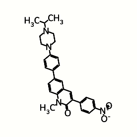 CC(C)N1CCN(c2ccc(-c3ccc4c(c3)cc(-c3ccc([N+](=O)[O-])cc3)c(=O)n4C)cc2)CC1